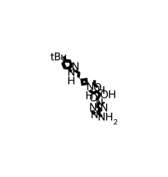 CC1O[C@H]2[C@@H](O)[C@H](n3cnc4c(N)ncnc43)O[C@@H]2CN1[C@H]1C[C@@H](CCc2nc3cc(C(C)(C)C)ccc3[nH]2)C1